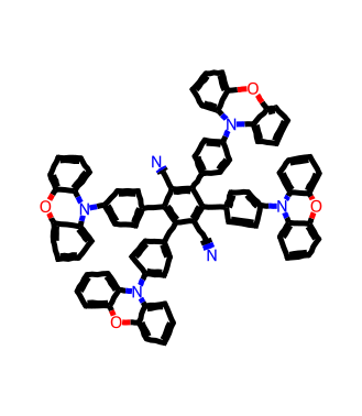 N#Cc1c(-c2ccc(N3c4ccccc4Oc4ccccc43)cc2)c(-c2ccc(N3c4ccccc4Oc4ccccc43)cc2)c(C#N)c(-c2ccc(N3c4ccccc4Oc4ccccc43)cc2)c1-c1ccc(N2c3ccccc3Oc3ccccc32)cc1